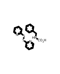 O=C(O)NCc1ccccc1.c1ccc(SSc2ccccn2)nc1